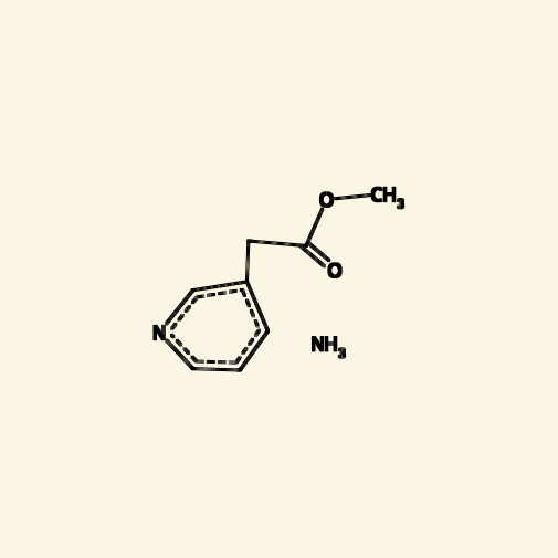 COC(=O)Cc1cccnc1.N